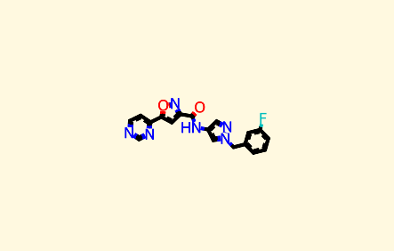 O=C(Nc1cnn(Cc2cccc(F)c2)c1)c1cc(-c2ccncn2)on1